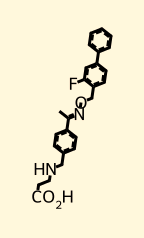 C/C(=N\OCc1ccc(-c2ccccc2)cc1F)c1ccc(CNCCC(=O)O)cc1